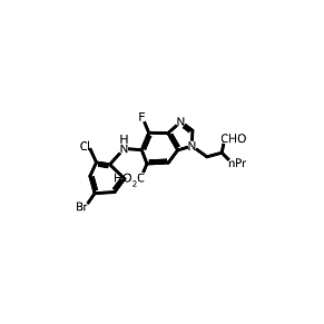 CCCC(C=O)Cn1cnc2c(F)c(Nc3ccc(Br)cc3Cl)c(C(=O)O)cc21